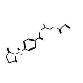 C=CC(=O)OCC(C)OC(=C)c1ccc(S(=O)(=O)N2C(=O)CCC2=O)cc1